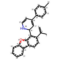 C=C(C)c1ccc2c(oc3ccccc32)c1C1C=C(c2ccc(C)cc2)C=CN1